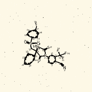 N#Cc1ccc(N2C(=O)C(CS(=O)(=O)c3ccc(F)cc3)(c3ccccc3)NC2=S)cc1C(F)(F)F